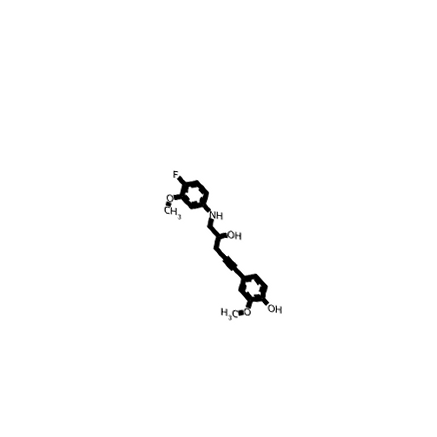 COc1cc(C#CCC(O)CNc2ccc(F)c(OC)c2)ccc1O